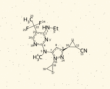 CCNc1nc(N(C)c2cc([C@H]3CC3C#N)nn2C2CC2)ncc1C(C)(F)F